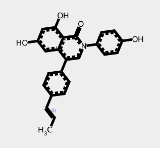 C/C=C/c1ccc(-c2cn(-c3ccc(O)cc3)c(=O)c3c(O)cc(O)cc23)cc1